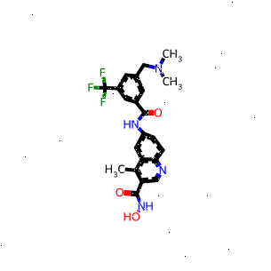 Cc1c(C(=O)NO)cnc2ccc(NC(=O)c3cc(CN(C)C)cc(C(F)(F)F)c3)cc12